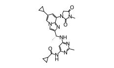 Cc1nc(NC(=O)C2CC2)cc(N[C@H](C)c2cn3cc(C4CC4)cc(N4CC(=O)N(C)C4=O)c3n2)n1